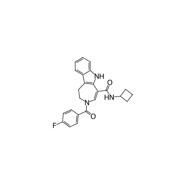 O=C(NC1CCC1)C1=CN(C(=O)c2ccc(F)cc2)CCc2c1[nH]c1ccccc21